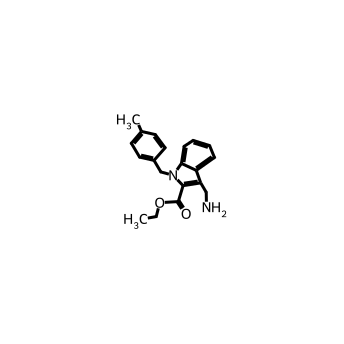 CCOC(=O)c1c(CN)c2ccccc2n1Cc1ccc(C)cc1